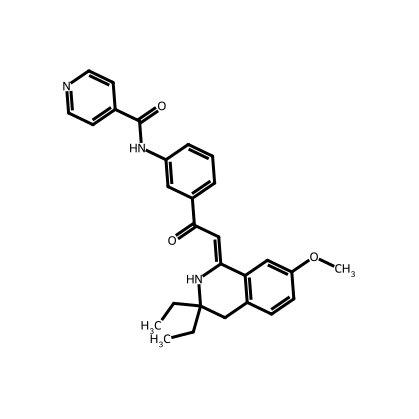 CCC1(CC)Cc2ccc(OC)cc2/C(=C/C(=O)c2cccc(NC(=O)c3ccncc3)c2)N1